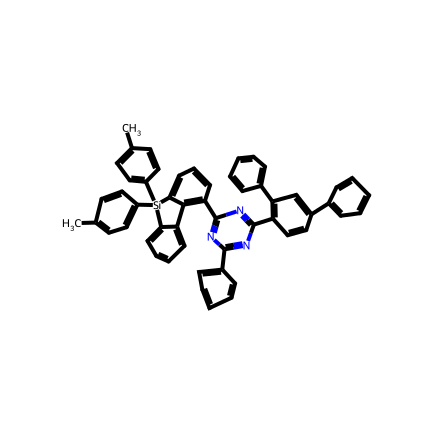 Cc1ccc([Si]2(c3ccc(C)cc3)c3ccccc3-c3c(-c4nc(-c5ccccc5)nc(-c5ccc(-c6ccccc6)cc5-c5ccccc5)n4)cccc32)cc1